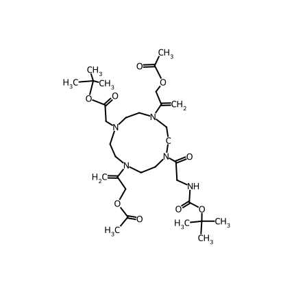 C=C(COC(C)=O)N1CCN(CC(=O)OC(C)(C)C)CCN(C(=C)COC(C)=O)CCN(C(=O)CNC(=O)OC(C)(C)C)CC1